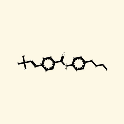 CCCCc1ccc(NC(=O)c2ccc(/C=C/C(C)(C)C)cc2)cc1